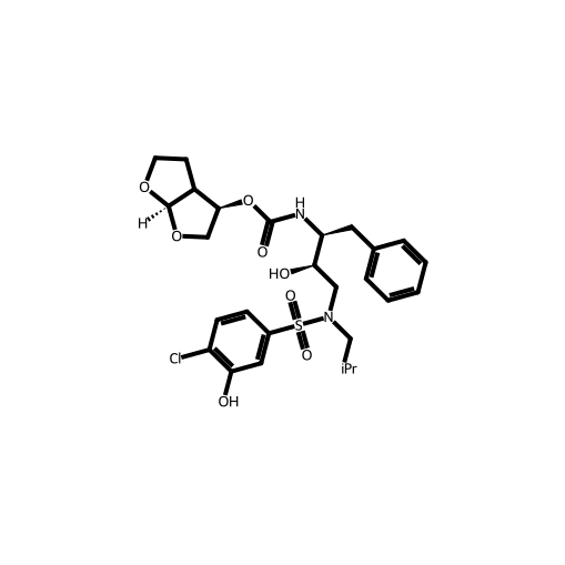 CC(C)CN(C[C@@H](O)[C@H](Cc1ccccc1)NC(=O)O[C@H]1CO[C@H]2OCCC21)S(=O)(=O)c1ccc(Cl)c(O)c1